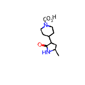 CC1CC(C2CCN(C(=O)O)CC2)C(=O)N1